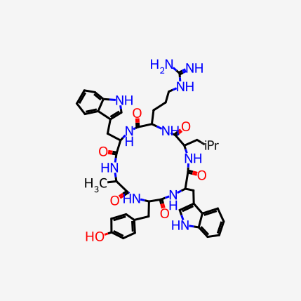 CC(C)CC1NC(=O)C(Cc2c[nH]c3ccccc23)NC(=O)C(Cc2ccc(O)cc2)NC(=O)C(C)NC(=O)C(Cc2c[nH]c3ccccc23)NC(=O)C(CCCNC(=N)N)NC1=O